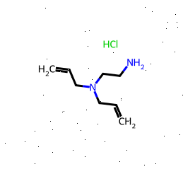 C=CCN(CC=C)CCN.Cl